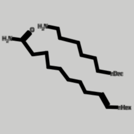 CCCCCCC=CCCCCCCCC(N)=O.CCCCCCCCCCCCCCCCN